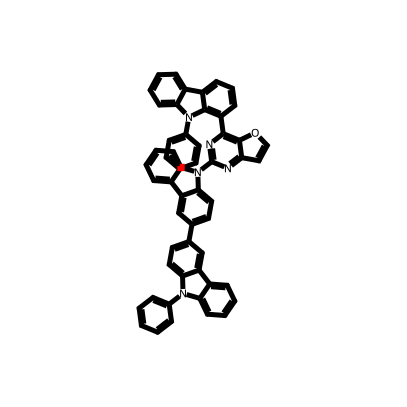 c1ccc(-n2c3ccccc3c3cc(-c4ccc5c(c4)c4ccccc4n5-c4nc(-c5cccc6c7ccccc7n(-c7ccccc7)c56)c5occc5n4)ccc32)cc1